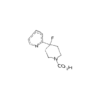 O=C(O)N1CCC(F)(c2ccccn2)CC1